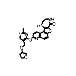 Cc1ncc(COC2CCOC2)c(Oc2ccc3c(ccc4sc5c(c43)NCCNC5=O)n2)n1